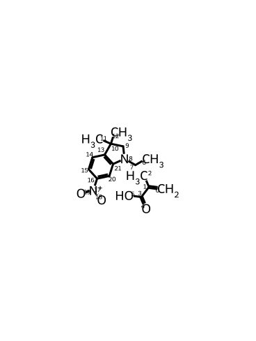 C=C(C)C(=O)O.CCN1CC(C)(C)c2ccc([N+](=O)[O-])cc21